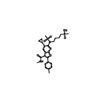 CNC(=O)c1c(-c2ccc(C)cc2)oc2nc(N(CCCCP(C)(=O)O)S(C)(=O)=O)c(C3CC3)cc12